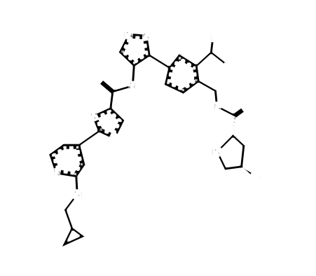 O=C(Nc1c[nH]nc1-c1ccc(CNC(=O)[C@@H]2C[C@@H](O)CN2)c(C(F)F)c1)c1coc(-c2ccnc(NCC3CC3)c2)n1